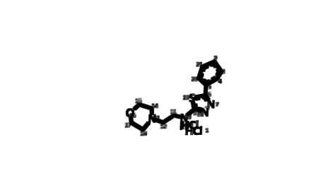 Cl.Cl.c1ccc(-c2nnc(NCCN3CCOCC3)s2)cc1